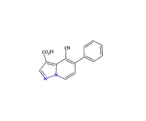 CCOC(=O)c1cnn2ccc(-c3ccccc3)c(C#N)c12